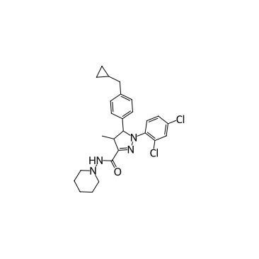 CC1C(C(=O)NN2CCCCC2)=NN(c2ccc(Cl)cc2Cl)C1c1ccc(CC2CC2)cc1